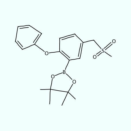 CC1(C)OB(c2cc(CS(C)(=O)=O)ccc2Oc2ccccc2)OC1(C)C